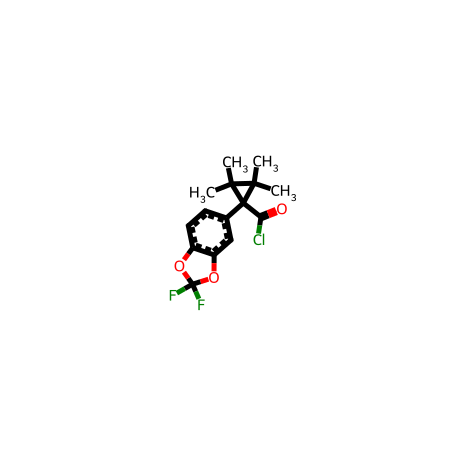 CC1(C)C(C)(C)C1(C(=O)Cl)c1ccc2c(c1)OC(F)(F)O2